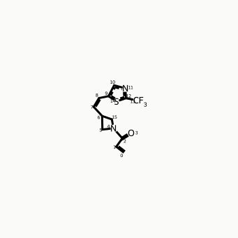 C=CC(=O)N1CC(/C=C\c2cnc(C(F)(F)F)s2)C1